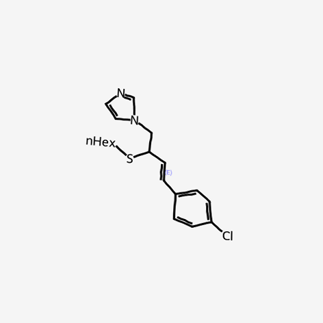 CCCCCCSC(/C=C/c1ccc(Cl)cc1)Cn1ccnc1